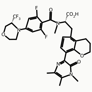 Cc1nc(-c2ccc(C[C@@H](C(=O)O)N(C)C(=O)c3c(F)cc(N4CCOC[C@@H]4C(F)(F)F)cc3F)c3c2OCCC3)c(=O)n(C)c1C